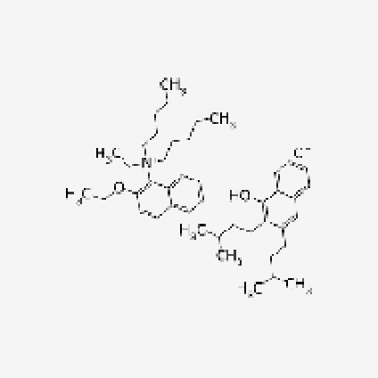 CC(C)CCc1cc2ccccc2c(O)c1CCC(C)C.CCCCC[N+](CC)(CCCCC)c1c(OCC)ccc2ccccc12.[Cl-]